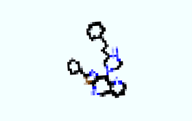 C1=c2cccnc2=C(N2CCNC(CCc3ccccc3)C2)c2nc(C3CCCC3)sc2N1